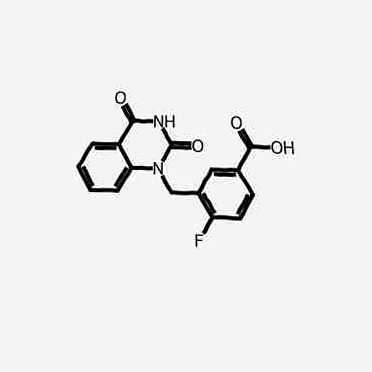 O=C(O)c1ccc(F)c(Cn2c(=O)[nH]c(=O)c3ccccc32)c1